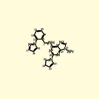 CC(C)n1cnc2c(NCc3ccccc3-n3cccn3)nc(N3C=CCC3)nc21